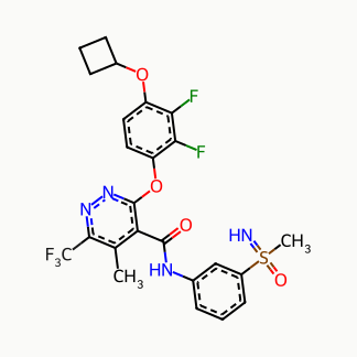 Cc1c(C(F)(F)F)nnc(Oc2ccc(OC3CCC3)c(F)c2F)c1C(=O)Nc1cccc(S(C)(=N)=O)c1